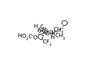 CN(CC(O)CNC(C)(C)CCCc1ccccc1)S(=O)(=O)c1cc(OCC(=O)O)cc(C(F)(F)F)c1